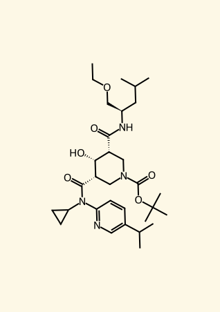 CCOC[C@@H](CC(C)C)NC(=O)[C@@H]1CN(C(=O)OC(C)(C)C)C[C@H](C(=O)N(c2ccc(C(C)C)cn2)C2CC2)[C@@H]1O